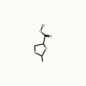 CCOC(=O)C1CSC(C)S1